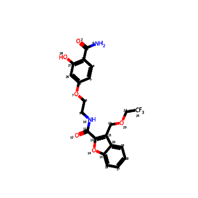 NC(=O)c1ccc(OCCNC(=O)c2oc3ccccc3c2COCC(F)(F)F)cc1O